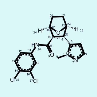 Cn1nccc1[C@@H]1[C@@H](C(=O)Nc2ccc(Cl)c(Cl)c2)[C@H]2CC[C@@H]1O2